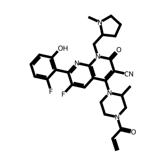 C=CC(=O)N1CCN(c2c(C#N)c(=O)n(CC3CCCN3C)c3nc(-c4c(O)cccc4F)c(F)cc23)C(C)C1